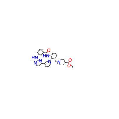 CCOC(=O)C1CCN(Cc2cccc(NC(=O)c3ccc(C)c(Nc4nccc(-c5cccnc5)n4)c3)c2)CC1